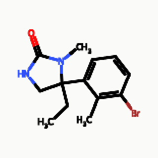 CCC1(c2cccc(Br)c2C)CNC(=O)N1C